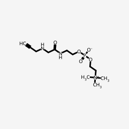 C#CCNCC(=O)NCCOP(=O)([O-])OCC[N+](C)(C)C